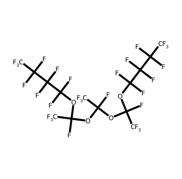 FC(F)(F)C(F)(OC(F)(F)C(F)(F)C(F)(F)C(F)(F)F)OC(F)(OC(F)(OC(F)(F)C(F)(F)C(F)(F)C(F)(F)F)C(F)(F)F)C(F)(F)F